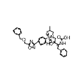 CC(C)CN(C[C@H](O)[C@H](Cc1ccccc1)NC(=O)O)S(=O)(=O)c1ccc(-c2noc(COCc3ccccc3)n2)cc1